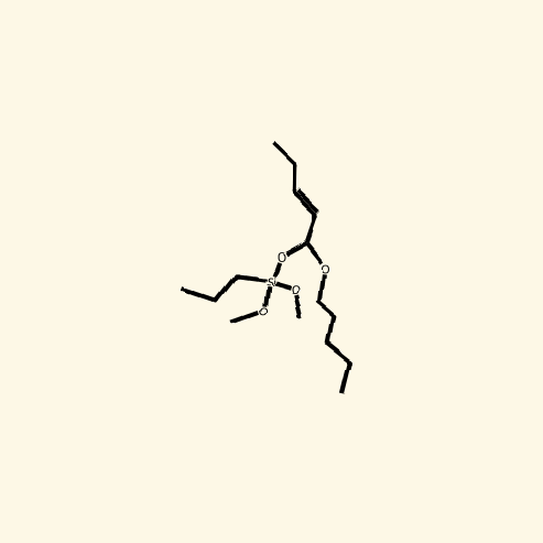 CCC=CC(OCCCCC)O[Si](CCC)(OC)OC